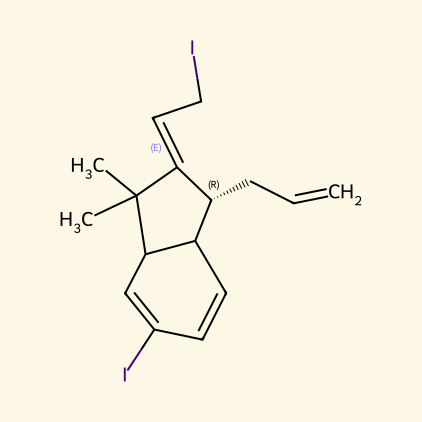 C=CC[C@H]1/C(=C\CI)C(C)(C)C2C=C(I)C=CC21